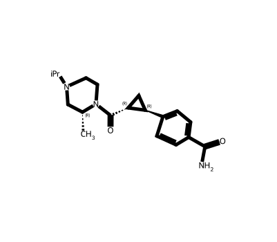 CC(C)N1CCN(C(=O)[C@@H]2C[C@H]2c2ccc(C(N)=O)cc2)[C@H](C)C1